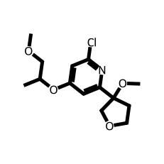 COCC(C)Oc1cc(Cl)nc(C2(OC)CCOC2)c1